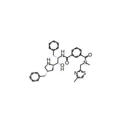 Cc1csc(CN(C)C(=O)c2cccc(C(=O)N[C@@H](Cc3ccccc3)[C@H](O)[C@H]3C[C@H](Cc4ccccc4)CN3)c2)n1